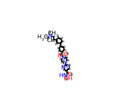 CC(C)N(C)CCc1cccc(-c2ccc(S(=O)(=O)N3CCN(c4ncc(C(=O)NO)cn4)CC3)cc2)c1